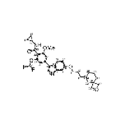 COc1cc(-c2cnc3cc(OCCCN4CCCC5(COC5)C4)ccn23)cc(OC(F)F)c1C(=O)NC1CC1